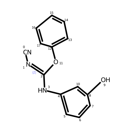 N#C/N=C(/Nc1cccc(O)c1)Oc1ccccc1